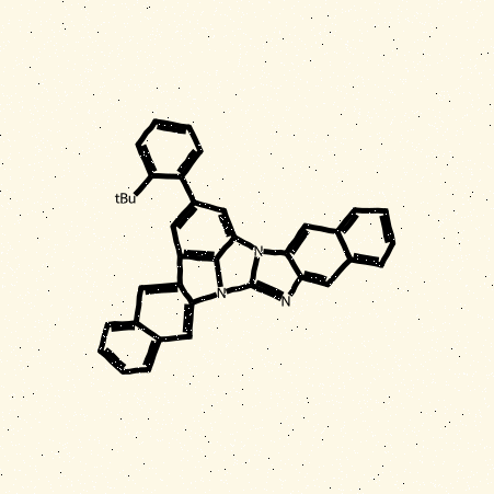 CC(C)(C)c1ccccc1-c1cc2c3cc4ccccc4cc3n3c2c(c1)n1c2cc4ccccc4cc2nc13